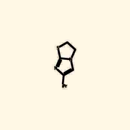 CC(C)c1cn2c(n1)SCC2